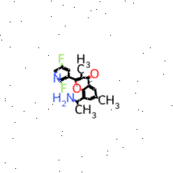 Cc1cc(C(C)N)c2oc(-c3cc(F)cnc3F)c(C)c(=O)c2c1